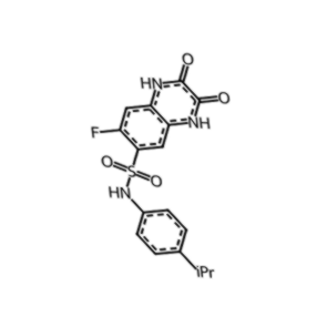 CC(C)c1ccc(NS(=O)(=O)c2cc3[nH]c(=O)c(=O)[nH]c3cc2F)cc1